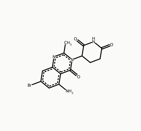 Cc1nc2cc(Br)cc(N)c2c(=O)n1C1CCC(=O)NC1=O